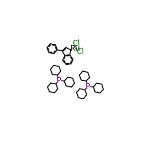 C1CCC(P(C2CCCCC2)C2CCCCC2)CC1.C1CCC(P(C2CCCCC2)C2CCCCC2)CC1.[Cl][Ru]([Cl])=[C]1C=C(c2ccccc2)c2ccccc21